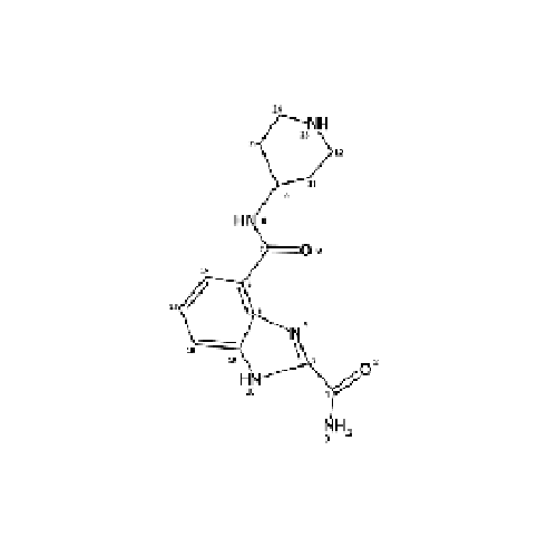 NC(=O)c1nc2c(C(=O)NC3CCNCC3)cccc2[nH]1